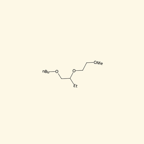 CCCCOCC(CC)OCCOC